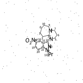 C1CCC2=NCCCN2CC1.CC(C)n1ncc2cc([N+](=O)[O-])ccc21